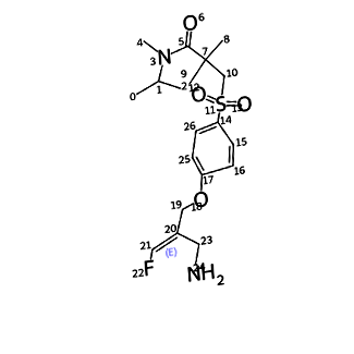 CC(C)N(C)C(=O)C(C)(C)CS(=O)(=O)c1ccc(OC/C(=C/F)CN)cc1